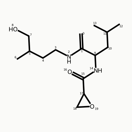 C=C(NCCC(C)CO)C(CC(C)C)NC(=O)C1CO1